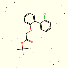 CC(C)(C)OC(=O)COc1ccccc1-c1ccccc1Cl